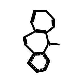 CN1C2=C(C=CCC=C2)C=Cc2ccccc21